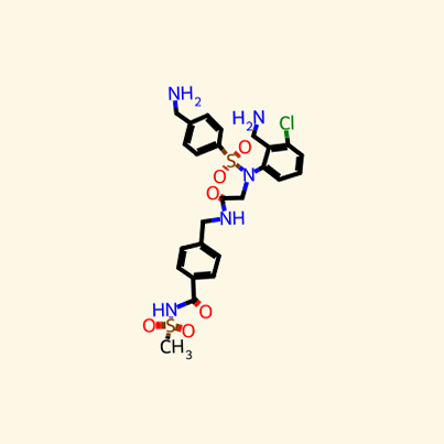 CS(=O)(=O)NC(=O)c1ccc(CNC(=O)CN(c2cccc(Cl)c2CN)S(=O)(=O)c2ccc(CN)cc2)cc1